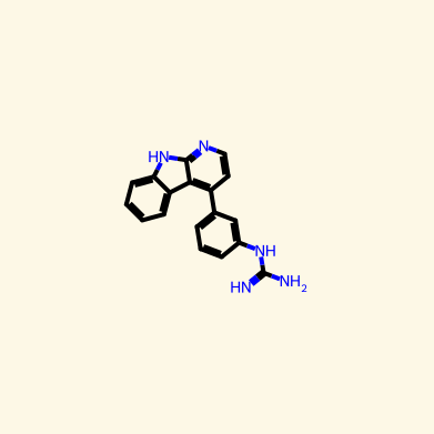 N=C(N)Nc1cccc(-c2ccnc3[nH]c4ccccc4c23)c1